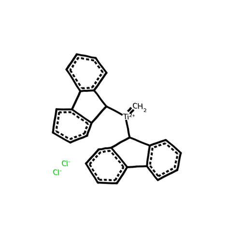 [CH2]=[Ti+2]([CH]1c2ccccc2-c2ccccc21)[CH]1c2ccccc2-c2ccccc21.[Cl-].[Cl-]